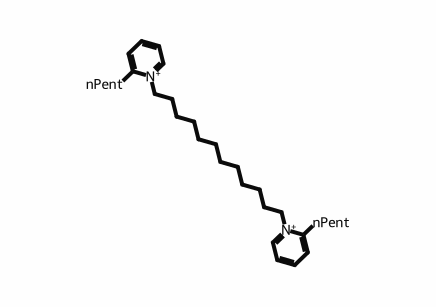 CCCCCc1cccc[n+]1CCCCCCCCCCCC[n+]1ccccc1CCCCC